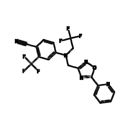 N#Cc1ccc(N(Cc2noc(-c3ccccn3)n2)CC(F)(F)F)cc1C(F)(F)F